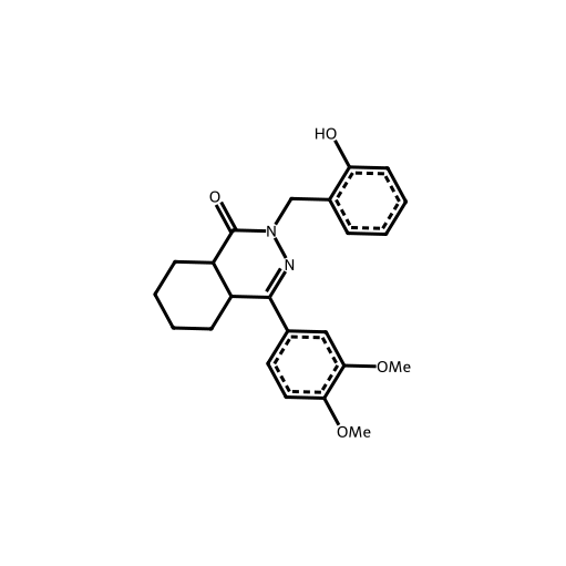 COc1ccc(C2=NN(Cc3ccccc3O)C(=O)C3CCCCC23)cc1OC